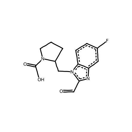 O=Cc1nc2cc(F)ccc2n1CC1CCCN1C(=O)O